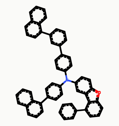 c1ccc(-c2cccc3oc4ccc(N(c5ccc(-c6cccc(-c7cccc8ccccc78)c6)cc5)c5ccc(-c6cccc7ccccc67)cc5)cc4c23)cc1